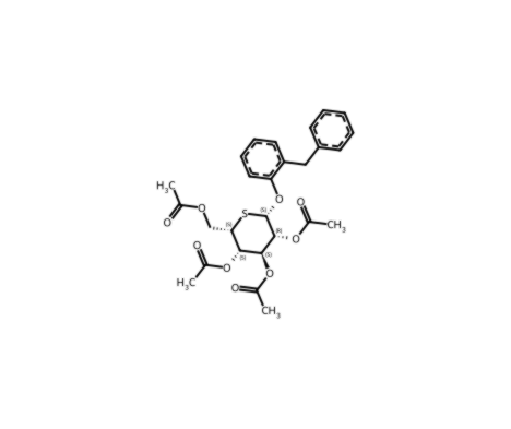 CC(=O)OC[C@@H]1S[C@H](Oc2ccccc2Cc2ccccc2)[C@H](OC(C)=O)[C@@H](OC(C)=O)[C@@H]1OC(C)=O